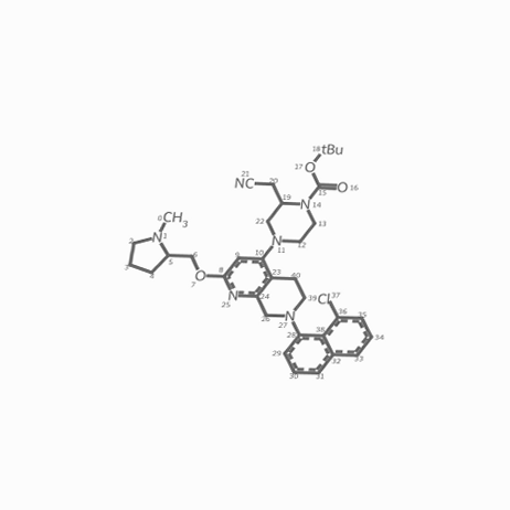 CN1CCCC1COc1cc(N2CCN(C(=O)OC(C)(C)C)C(CC#N)C2)c2c(n1)CN(c1cccc3cccc(Cl)c13)CC2